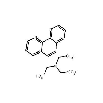 O=C(O)CN(CC(=O)O)CC(=O)O.c1cnc2c(c1)ccc1cccnc12